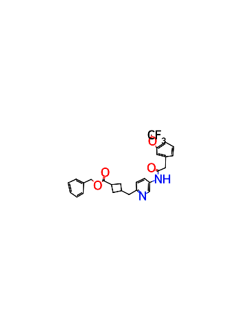 O=C(Cc1cccc(OC(F)(F)F)c1)Nc1ccc(CC2CC(C(=O)OCc3ccccc3)C2)nc1